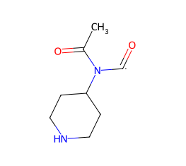 CC(=O)N([C]=O)C1CCNCC1